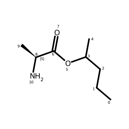 CCCC(C)OC(=O)[C@H](C)N